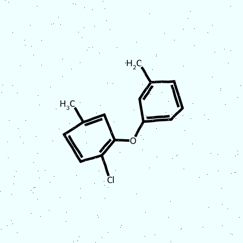 [CH2]c1cccc(Oc2cc(C)ccc2Cl)c1